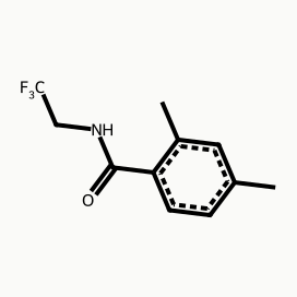 Cc1ccc(C(=O)NCC(F)(F)F)c(C)c1